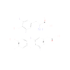 NC(Cc1cc(I)c(O)c(I)c1)C(=O)O.O=C(O)Cc1cc(I)c(Oc2ccc(O)c(I)c2)c(I)c1